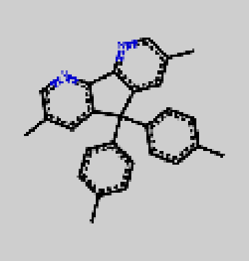 Cc1ccc(C2(c3ccc(C)cc3)c3cc(C)cnc3-c3ncc(C)cc32)cc1